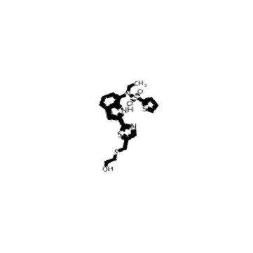 CCN(c1cccc2cc(-c3ncc(CSCCO)s3)[nH]c12)S(=O)(=O)c1cccs1